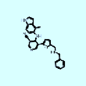 Cc1c(Nc2c(C#N)cncc2-c2ccc(CNCc3ccccc3)o2)ccc2[nH]ccc12